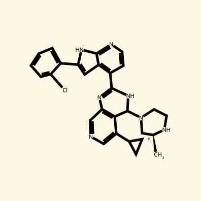 C[C@H]1CN(C2NC(c3ccnc4[nH]c(-c5ccccc5Cl)cc34)=Nc3cncc(C4CC4)c32)CCN1